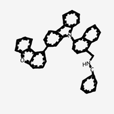 c1ccc(CNCc2ccc(-n3c4ccccc4c4ccc(-c5cccc6oc7ccccc7c56)cc43)c3ccccc23)cc1